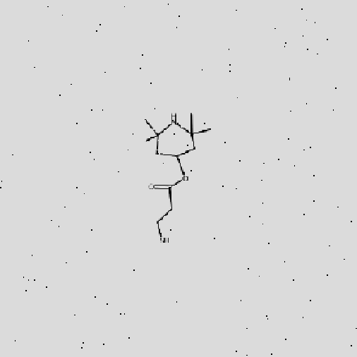 CC1(C)CC(OC(=O)CCS)CC(C)(C)N1